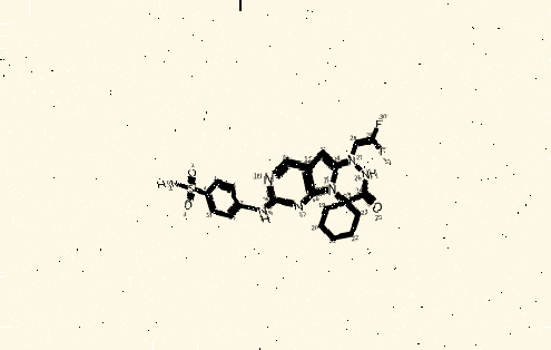 NS(=O)(=O)c1ccc(Nc2ncc3cc4n(c3n2)C2(CCCCC2)C(=O)NN4C=C(F)F)cc1